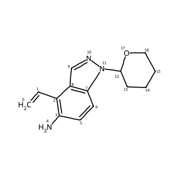 C=Cc1c(N)ccc2c1cnn2C1CCCCO1